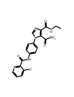 CCNC(=O)c1ncn(-c2ccc(NC(=O)c3ncccc3Cl)cc2)c1C(N)=O